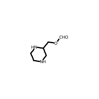 O=COCC1CNCCN1